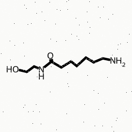 NCCCCCCC(=O)NCCO